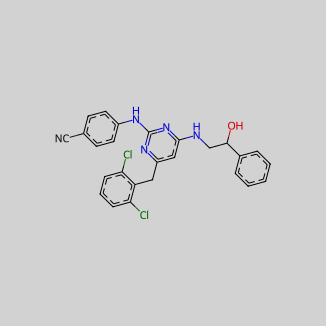 N#Cc1ccc(Nc2nc(Cc3c(Cl)cccc3Cl)cc(NCC(O)c3ccccc3)n2)cc1